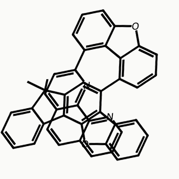 CC1(C)c2ccccc2-c2c1cc(-c1cccc3oc4cccc(-c5ccc6ccc7cccnc7c6n5)c4c13)c1c2oc2ccccc21